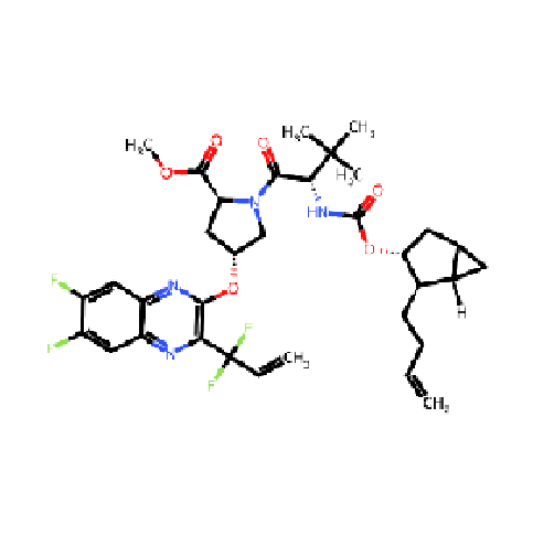 C=CCC[C@H]1[C@H](OC(=O)N[C@H](C(=O)N2C[C@H](Oc3nc4cc(F)c(F)cc4nc3C(F)(F)C=C)C[C@H]2C(=O)OC)C(C)(C)C)CC2C[C@@H]21